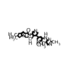 Cc1nccc(Nc2cc(-c3cncc(N4CCn5c(cc6c5CC(C)(C)C6)C4=O)c3CO)cn(C)c2=O)n1